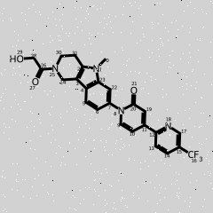 Cn1c2c(c3ccc(-n4ccc(-c5ccc(C(F)(F)F)cn5)cc4=O)cc31)CN(C(=O)CO)CC2